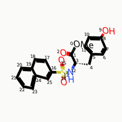 COC(=O)[C@H](Cc1ccc(O)cc1)NS(=O)(=O)c1ccc2ccccc2c1